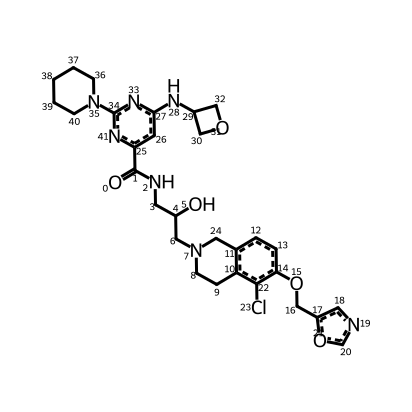 O=C(NCC(O)CN1CCc2c(ccc(OCc3cnco3)c2Cl)C1)c1cc(NC2COC2)nc(N2CCCCC2)n1